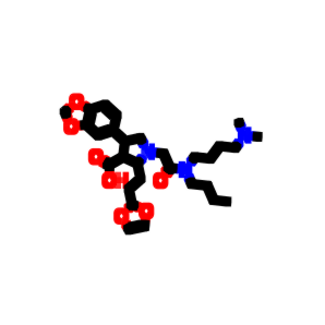 CCCCN(CCCCN(C)C)C(=O)CN1CC(c2ccc3c(c2)OCO3)C(C(=O)O)C1CCC1OC=CO1